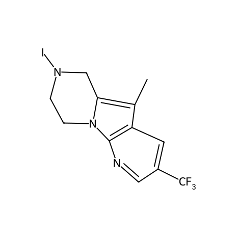 Cc1c2n(c3ncc(C(F)(F)F)cc13)CCN(I)C2